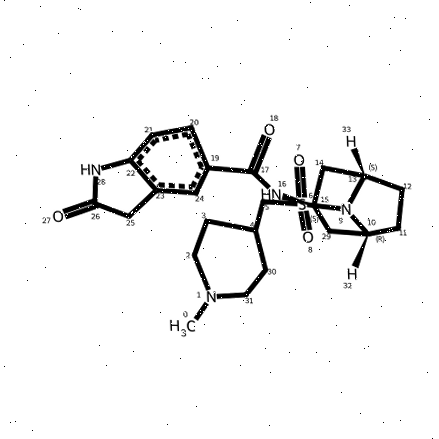 CN1CCC(CS(=O)(=O)N2[C@@H]3CC[C@H]2C[C@H](NC(=O)c2ccc4c(c2)CC(=O)N4)C3)CC1